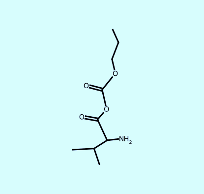 CCCOC(=O)OC(=O)C(N)C(C)C